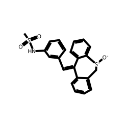 CS(=O)(=O)Nc1cccc(C=C2c3ccccc3C[S+]([O-])c3ccccc32)c1